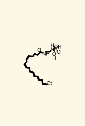 CC/C=C\CC=CCC=CC/C=C\C/C=C\CCCC(=O)NCCNP(=O)(O)O